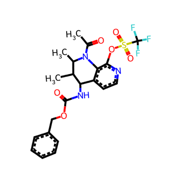 CC(=O)N1c2c(ccnc2OS(=O)(=O)C(F)(F)F)C(NC(=O)OCc2ccccc2)C(C)C1C